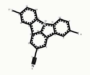 N#Cc1cc2c3cc(I)ccc3n3c4ccc(I)cc4c(c1)c23